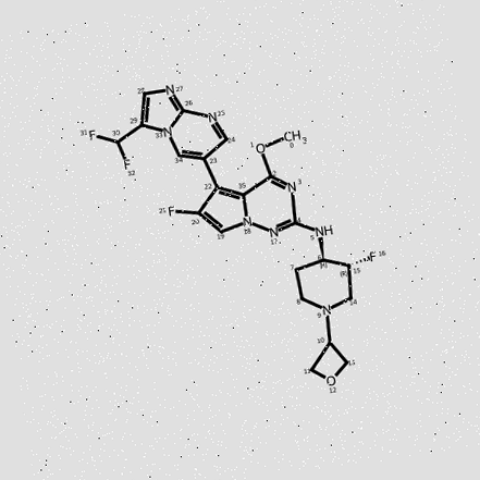 COc1nc(N[C@@H]2CCN(C3COC3)C[C@H]2F)nn2cc(F)c(-c3cnc4ncc(C(F)F)n4c3)c12